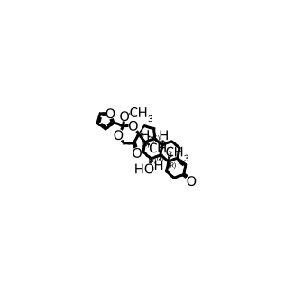 COC1(c2ccco2)OCC(=O)[C@]2(CC[C@H]3[C@@H]4CCC5=CC(=O)CC[C@]5(C)[C@H]4[C@@H](O)C[C@@]32C)O1